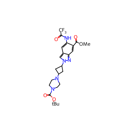 COC(=O)c1cc2nn(C3CC(N4CCN(C(=O)OC(C)(C)C)CC4)C3)cc2cc1NC(=O)C(F)(F)F